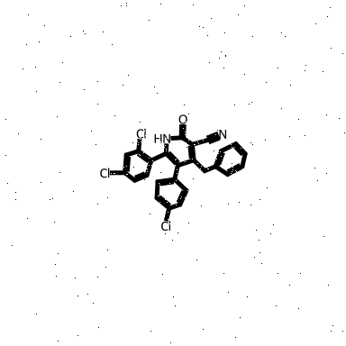 N#Cc1c(Cc2ccccc2)c(-c2ccc(Cl)cc2)c(-c2ccc(Cl)cc2Cl)[nH]c1=O